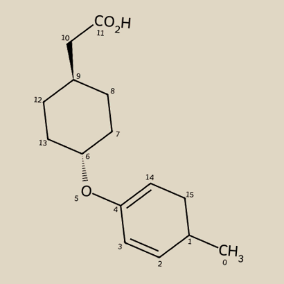 CC1C=CC(O[C@H]2CC[C@H](CC(=O)O)CC2)=CC1